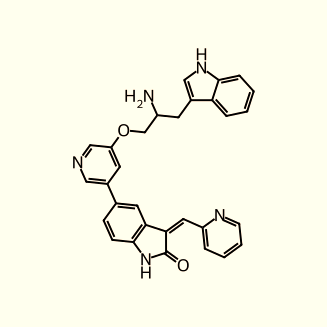 NC(COc1cncc(-c2ccc3c(c2)C(=Cc2ccccn2)C(=O)N3)c1)Cc1c[nH]c2ccccc12